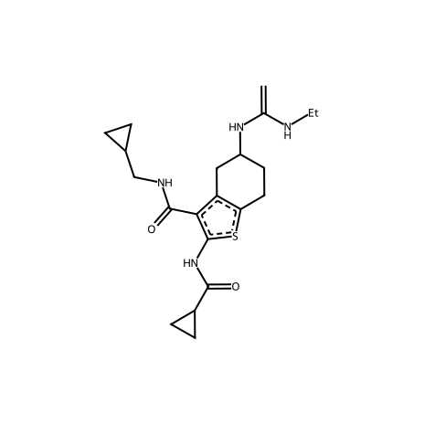 C=C(NCC)NC1CCc2sc(NC(=O)C3CC3)c(C(=O)NCC3CC3)c2C1